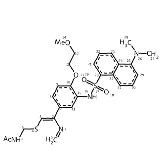 C=N/C(=C\SCNC(C)=O)c1ccc(OCCOC)c(NS(=O)(=O)c2cccc3c(N(C)C)cccc23)c1